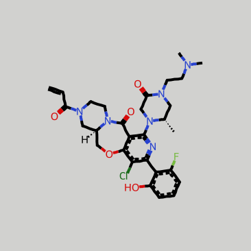 C=CC(=O)N1CCN2C(=O)c3c(N4CC(=O)N(CCN(C)C)C[C@@H]4C)nc(-c4c(O)cccc4F)c(Cl)c3OC[C@H]2C1